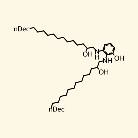 CCCCCCCCCCCCCCCCCCCCCC(O)CNc1cccc(O)c1NCC(O)CCCCCCCCCCCCCCCCCCCCC